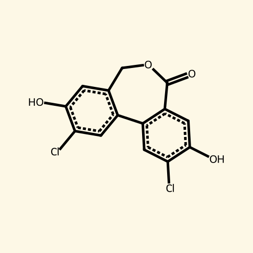 O=C1OCc2cc(O)c(Cl)cc2-c2cc(Cl)c(O)cc21